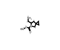 CC(C)(C)OC(=O)N1CC2(CC2)CC1CN